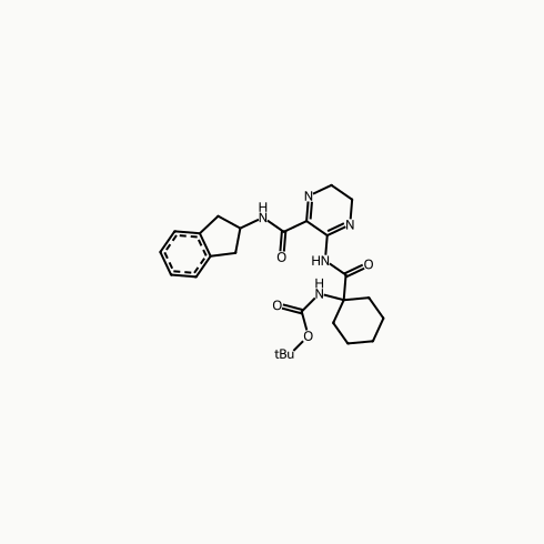 CC(C)(C)OC(=O)NC1(C(=O)NC2=NCCN=C2C(=O)NC2Cc3ccccc3C2)CCCCC1